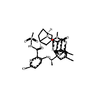 Cc1cc([C@@H](C)Nc2ccc(Cl)nc2C(=O)NS(C)(=O)=O)c2nc(N3[C@@H]4CC[C@H]3CC(c3cnc(C)nc3)C4)n(C)c(=O)c2c1